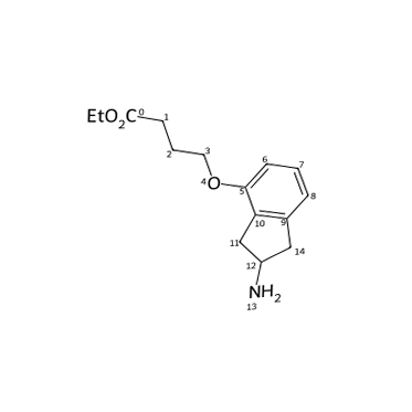 CCOC(=O)CCCOc1cccc2c1CC(N)C2